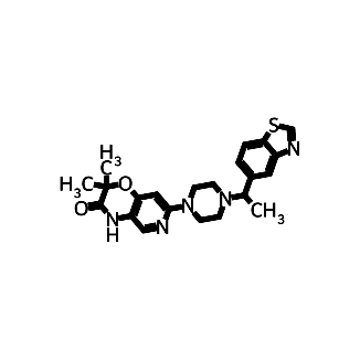 CC(c1ccc2scnc2c1)N1CCN(c2cc3c(cn2)NC(=O)C(C)(C)O3)CC1